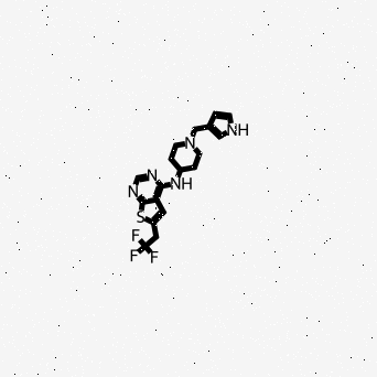 FC(F)(F)Cc1cc2c(NC3CCN(Cc4cc[nH]c4)CC3)ncnc2s1